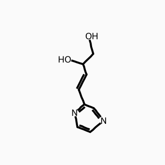 OCC(O)C=Cc1cnccn1